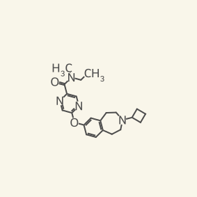 CCN(C)C(=O)c1cnc(Oc2ccc3c(c2)CCN(C2CCC2)CC3)cn1